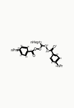 [CH2]CCCCCC[C](OOC(=O)c1ccc(CCC)cc1)OOC(=O)c1ccc(CCC)cc1